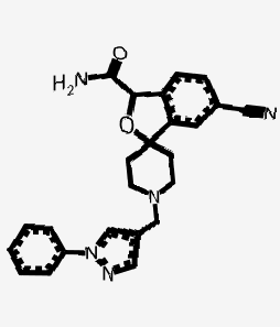 N#Cc1ccc2c(c1)C1(CCN(Cc3cnn(-c4ccccc4)c3)CC1)OC2C(N)=O